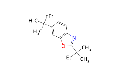 CCCC(C)(C)c1ccc2nc(C(C)(C)CC)oc2c1